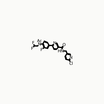 CC(=O)N(CC(F)F)c1ccc(-c2ccc(C(=O)NCc3ccc(Cl)nc3)cn2)cc1F